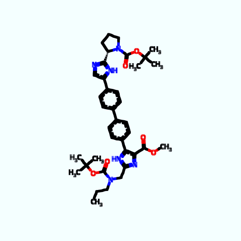 CCCN(Cc1nc(C(=O)OC)c(-c2ccc(-c3ccc(-c4cnc([C@@H]5CCCN5C(=O)OC(C)(C)C)[nH]4)cc3)cc2)[nH]1)C(=O)OC(C)(C)C